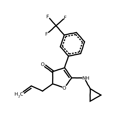 C=CCC1OC(NC2CC2)=C(c2cccc(C(F)(F)F)c2)C1=O